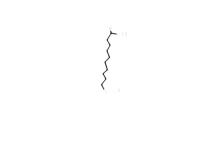 CCCCCCCCCCCCCCCCCC(C)[C](C)C